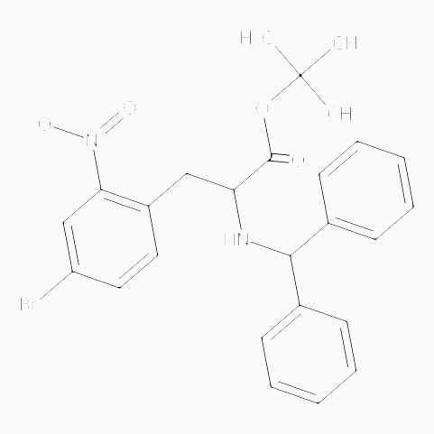 CC(C)(C)OC(=O)C(Cc1ccc(Br)cc1[N+](=O)[O-])NC(c1ccccc1)c1ccccc1